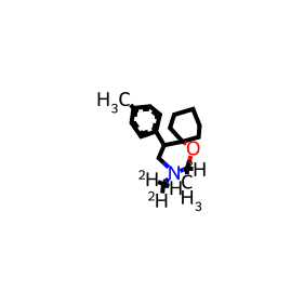 [2H]C([2H])([2H])N1CC(c2ccc(C)cc2)C2(CCCCC2)OC1([2H])C